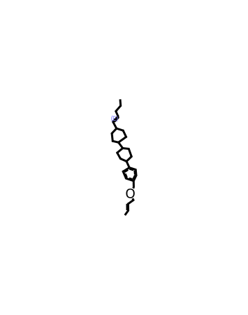 CC=CCOCc1ccc(C2CCC(C3CCC(/C=C/CCC)CC3)CC2)cc1